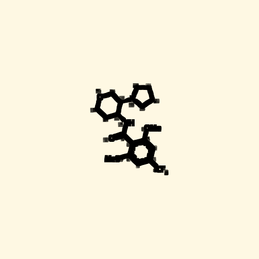 COc1cc(C(F)(F)F)cc(SC)c1C(=O)N[C@H]1CCOC[C@H]1N1CCCC1